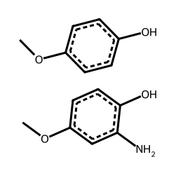 COc1ccc(O)c(N)c1.COc1ccc(O)cc1